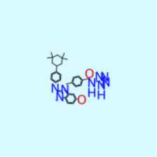 COc1ccc2c(c1)n(Cc1ccc(C(=O)Nc3nnn[nH]3)cc1)c(=Nc1ccc(C3CC(C)(C)CC(C)(C)C3)cc1)n2C